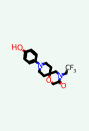 O=C1COC2(CCN(c3ccc(O)cc3)CC2)CN1CC(F)(F)F